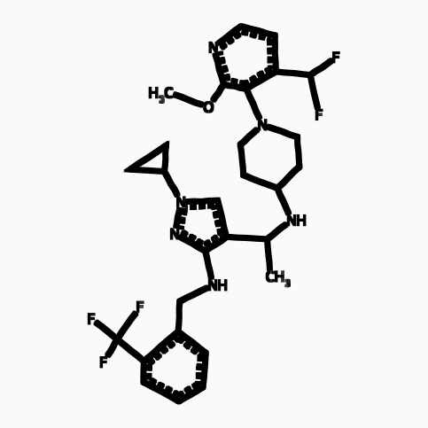 COc1nccc(C(F)F)c1N1CCC(NC(C)c2cn(C3CC3)nc2NCc2ccccc2C(F)(F)F)CC1